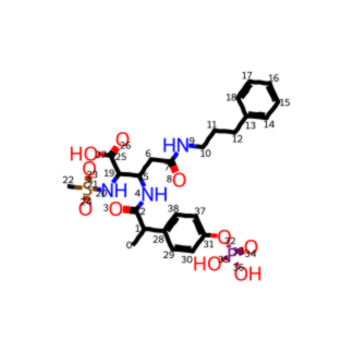 CC(C(=O)NC(CC(=O)NCCCc1ccccc1)C(NS(C)(=O)=O)C(=O)O)c1ccc(OP(=O)(O)O)cc1